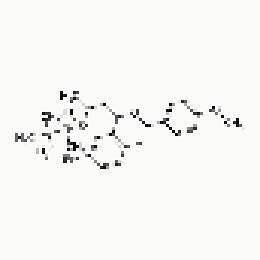 COc1ccc(COC(CC(C)O[Si](C)(C)C(C)(C)C)c2cc(Br)ccc2I)cc1